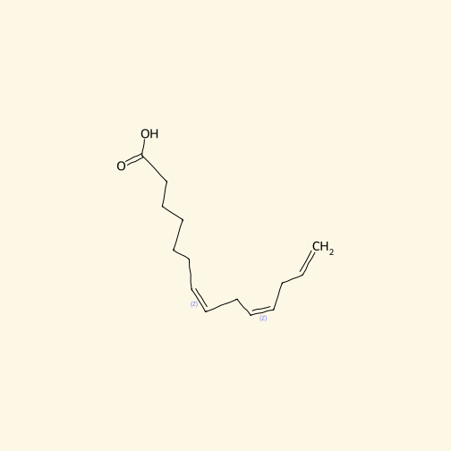 C=CC/C=C\C/C=C\CCCCCC(=O)O